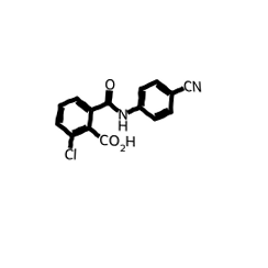 N#Cc1ccc(NC(=O)c2cccc(Cl)c2C(=O)O)cc1